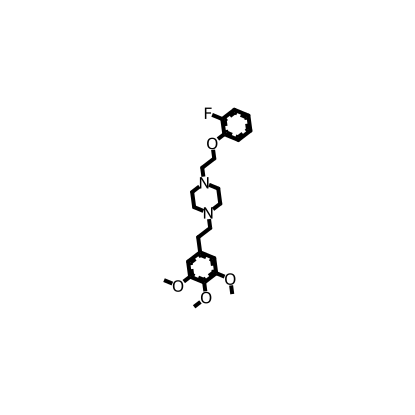 COc1cc(CCN2CCN(CCOc3ccccc3F)CC2)cc(OC)c1OC